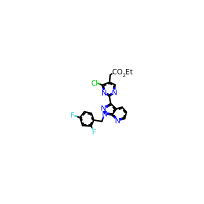 CCOC(=O)Cc1cnc(-c2nn(Cc3ccc(F)cc3F)c3ncccc23)nc1Cl